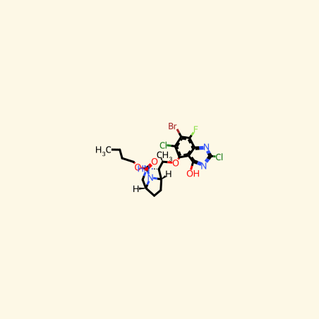 CCCCOC(=O)N1[C@@H]2CC[C@H]1[C@@H]([C@H](C)Oc1c(Cl)c(Br)c(F)c3nc(Cl)nc(O)c13)NC2